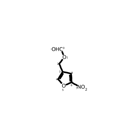 O=[C]OCc1coc([N+](=O)[O-])c1